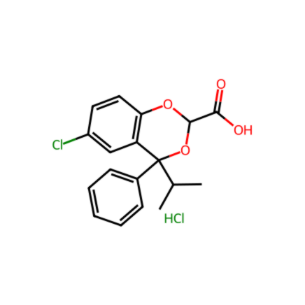 CC(C)C1(c2ccccc2)OC(C(=O)O)Oc2ccc(Cl)cc21.Cl